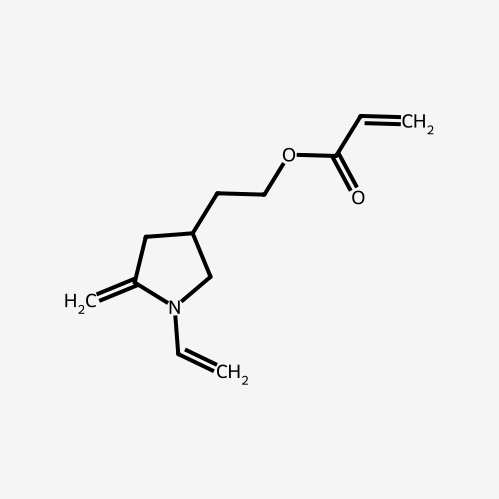 C=CC(=O)OCCC1CC(=C)N(C=C)C1